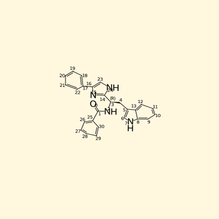 O=C(N[C@H](Cc1c[nH]c2ccccc12)c1nc(-c2ccccc2)c[nH]1)c1ccccc1